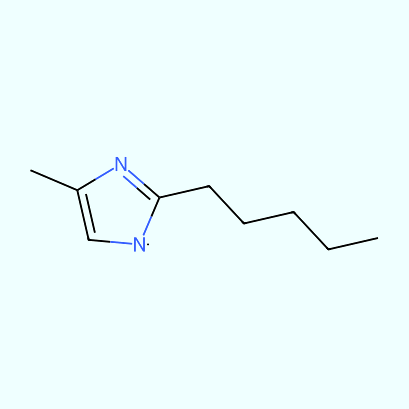 CCCCCC1=NC(C)=C[N]1